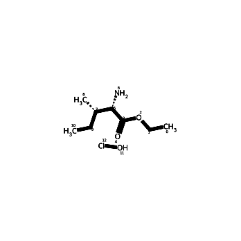 CCOC(=O)[C@@H](N)[C@@H](C)CC.OCl